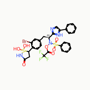 O=C1CC(c2ccc(C[C@@H](c3ncc(-c4ccccc4)[nH]3)N(OC(=O)C(F)(F)F)S(=O)(=O)c3ccccc3)cc2Br)S(O)(O)N1